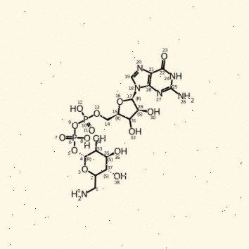 NCC1O[C@H](OP(=O)(O)OP(=O)(O)OC[C@H]2O[C@@H](n3cnc4c(=O)[nH]c(N)nc43)[C@@H](O)C2O)C(O)[C@@H](O)[C@@H]1O